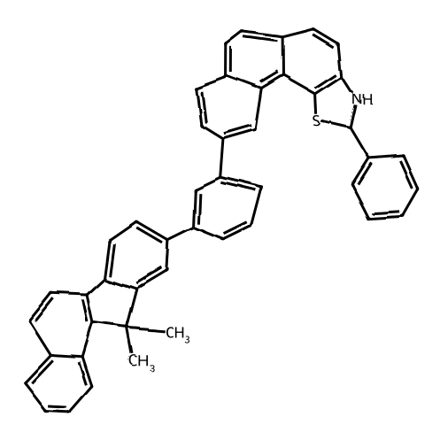 CC1(C)c2cc(-c3cccc(-c4ccc5ccc6ccc7c(c6c5c4)SC(c4ccccc4)N7)c3)ccc2-c2ccc3ccccc3c21